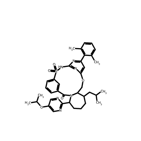 Cc1cccc(C)c1-c1cc2nc(n1)NS(=O)(=O)c1cccc(c1)C(=O)N1C(c3ncc(OC(C)C)cn3)CCCC(CC(C)C)C1CO2